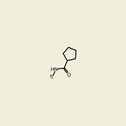 O=C([NH][Ti])C1CCCC1